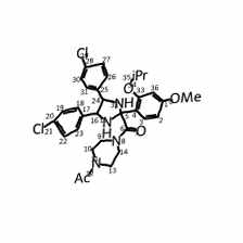 COc1ccc(C2(C(=O)N3CCN(C(C)=O)CC3)NC(c3ccc(Cl)cc3)C(c3ccc(Cl)cc3)N2)c(OC(C)C)c1